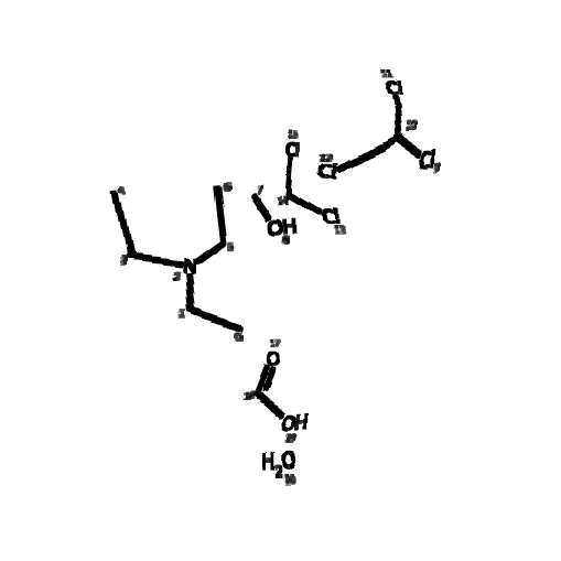 CCN(CC)CC.CO.ClC(Cl)Cl.ClCCl.O.O=CO